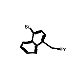 CC(C)Cc1ccc(Br)c2ccccc12